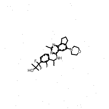 Cc1nc(NC(C)c2cccc(C(F)(F)C(C)(C)O)c2F)c2cc(N3CCOCC3)c3c(c2n1)CCC3